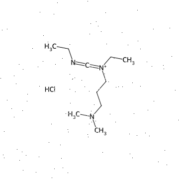 CCN=C=[N+](CC)CCCN(C)C.Cl